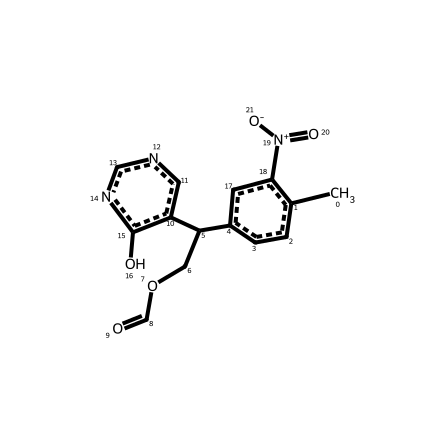 Cc1ccc(C(COC=O)c2cncnc2O)cc1[N+](=O)[O-]